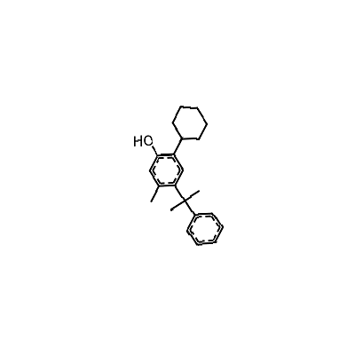 Cc1cc(O)c(C2CCCCC2)cc1C(C)(C)c1ccccc1